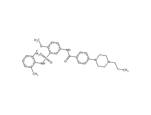 CCCN1CCN(c2ccc(C(=O)Nc3ccc(OC)c(S(=O)(=O)Nc4c(C)cccc4C)c3)cc2)CC1